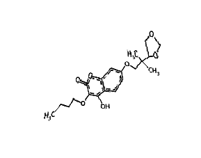 CCCCOc1c(O)c2ccc(OCC(C)(C)C3COCO3)cc2oc1=O